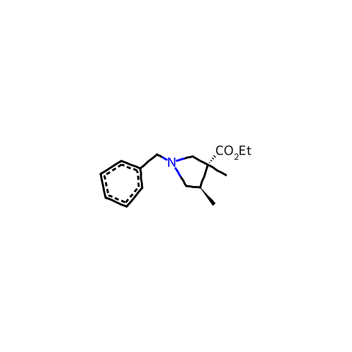 CCOC(=O)[C@@]1(C)CN(Cc2ccccc2)C[C@@H]1C